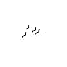 CC(C)O.CCC[O-].CCC[O-].CCC[O-].[Al+3]